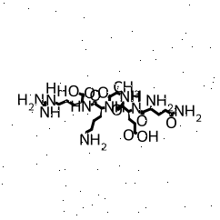 C[C@H](NC(=O)[C@H](CCC(=O)O)NC(=O)[C@@H](N)CCC(N)=O)C(=O)N[C@@H](CCCCN)C(=O)N[C@@H](CCCNC(=N)N)C(=O)O